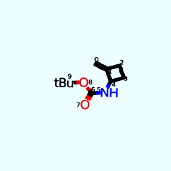 C=C1CCC1NC(=O)OC(C)(C)C